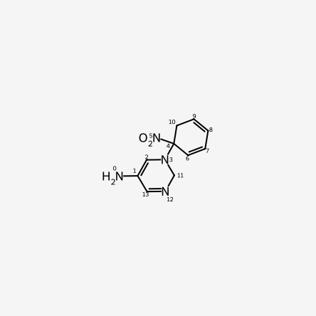 NC1=CN(C2([N+](=O)[O-])C=CC=CC2)CN=C1